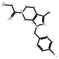 Cc1nn(Cc2ccc(F)cc2)c2c1CCN(C(=O)CCl)C2